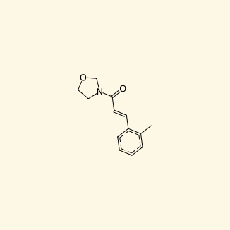 Cc1ccccc1/C=C/C(=O)N1CCOC1